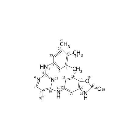 Cc1cc(Nc2ncc(F)c(Nc3ccc4oc(=O)[nH]c4c3)n2)cc(C)c1C